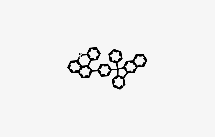 c1ccc(C2(c3ccc(-c4ccc5cccc6c5c4-c4ccccc4S6)cc3)c3ccccc3-c3cc4ccccc4cc32)cc1